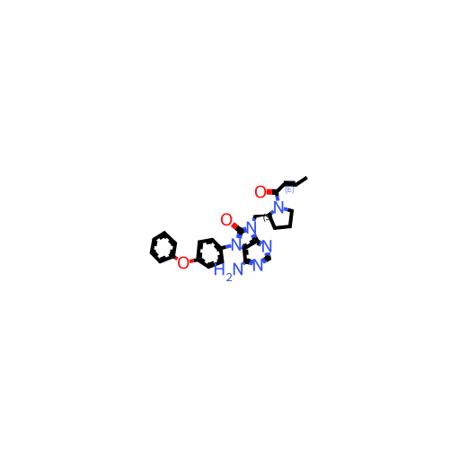 C/C=C/C(=O)N1CCC[C@H]1Cn1c(=O)n(-c2ccc(Oc3ccccc3)cc2)c2c(N)ncnc21